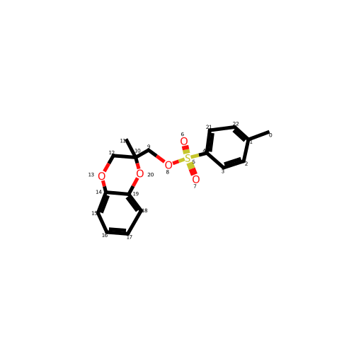 Cc1ccc(S(=O)(=O)OCC2(C)COc3ccccc3O2)cc1